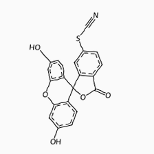 N#CSc1ccc2c(c1)C1(OC2=O)c2ccc(O)cc2Oc2cc(O)ccc21